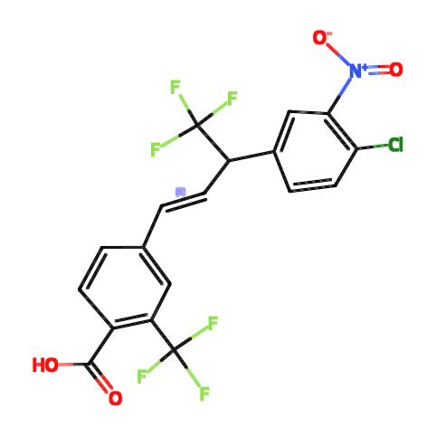 O=C(O)c1ccc(/C=C/C(c2ccc(Cl)c([N+](=O)[O-])c2)C(F)(F)F)cc1C(F)(F)F